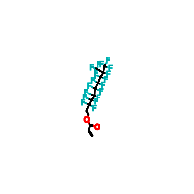 C=CC(=O)OCCC(F)(F)C(F)(F)C(F)(F)C(F)(F)C(F)(F)C(F)(F)C(F)(C(F)(F)F)C(F)(F)F